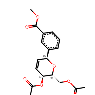 COC(=O)c1cccc([C@@H]2C=C[C@H](OC(C)=O)[C@@H](COC(C)=O)O2)c1